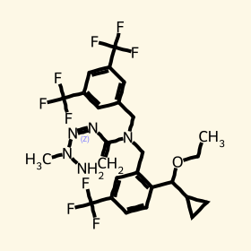 C=C(/N=N\N(C)N)N(Cc1cc(C(F)(F)F)cc(C(F)(F)F)c1)Cc1cc(C(F)(F)F)ccc1C(OCC)C1CC1